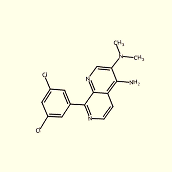 CN(C)c1cnc2c(-c3cc(Cl)cc(Cl)c3)nccc2c1N